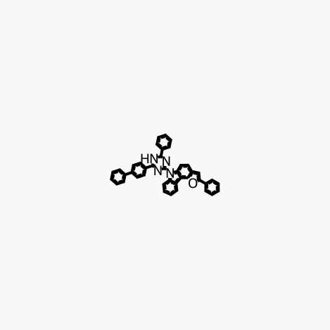 c1ccc(-c2ccc(C3=NC(n4c5ccccc5c5c6oc(-c7ccccc7)cc6ccc54)=NC(c4ccccc4)N3)cc2)cc1